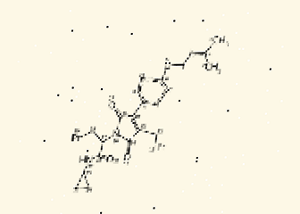 CC(C)=CCOc1ccc(C2=C(CC(C)C)C(=O)N(C(CC(C)C)C(=O)NC3CC3)C2=O)cc1